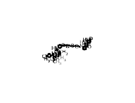 C=N/N=C(/C)N1C[C@H](CC(=O)Nc2ccc(OCCOCCOCCOCCNc3cccc4c3C(=O)N(C3CCC(=O)NC3=O)C4=O)cc2)N=C(c2ccc(Cl)cc2)c2c1sc(C)c2C